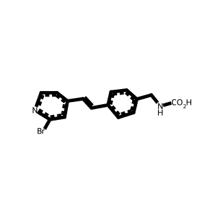 O=C(O)NCc1ccc(C=Cc2ccnc(Br)c2)cc1